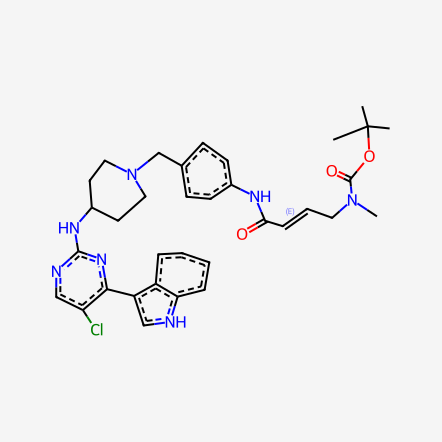 CN(C/C=C/C(=O)Nc1ccc(CN2CCC(Nc3ncc(Cl)c(-c4c[nH]c5ccccc45)n3)CC2)cc1)C(=O)OC(C)(C)C